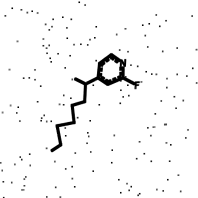 CCCCCCC(C)c1ccnc(F)c1